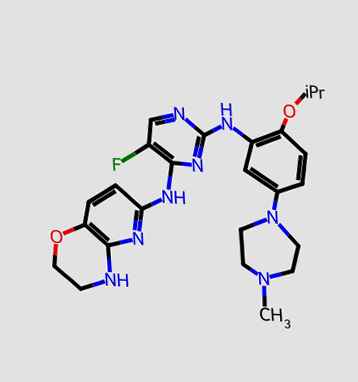 CC(C)Oc1ccc(N2CCN(C)CC2)cc1Nc1ncc(F)c(Nc2ccc3c(n2)NCCO3)n1